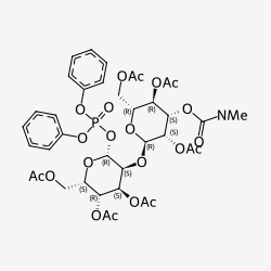 CNC(=O)O[C@@H]1[C@H](OC(C)=O)[C@@H](O[C@@H]2[C@@H](OP(=O)(Oc3ccccc3)Oc3ccccc3)O[C@@H](COC(C)=O)[C@@H](OC(C)=O)[C@@H]2OC(C)=O)O[C@H](COC(C)=O)[C@H]1OC(C)=O